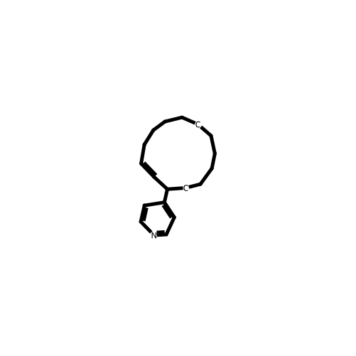 C1=C\C(c2ccncc2)CCCCCCCCCC/1